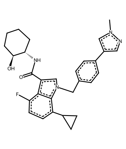 Cn1cc(-c2ccc(Cn3cc(C(=O)N[C@H]4CCCC[C@@H]4O)c4c(F)ccc(C5CC5)c43)cc2)cn1